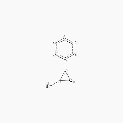 CC(C)C1OC1c1ccccc1